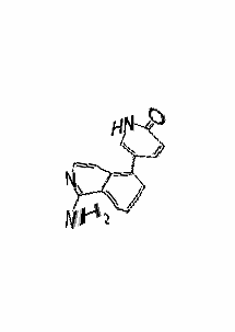 Nc1nccc2c(-c3ccc(=O)[nH]c3)cccc12